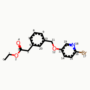 CCOC(=O)Cc1cccc(COc2ccc(Br)nc2)c1